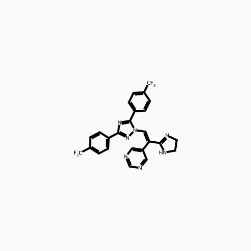 FC(F)(F)c1ccc(-c2nc(-c3ccc(C(F)(F)F)cc3)n(/C=C(/C3=NCCN3)c3cncnc3)n2)cc1